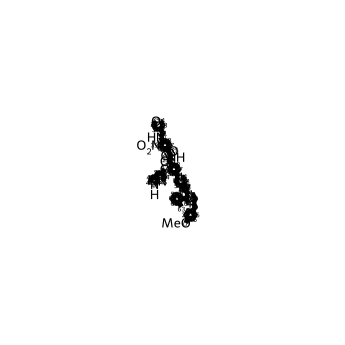 COc1ccc(CN2CCN(C3CC4(CCN(c5ccc(C(=O)NS(=O)(=O)c6ccc(NCC7CCOCC7)c([N+](=O)[O-])c6)c(Oc6cnc7[nH]ccc7c6)c5)CC4)C3)C(c3ccccc3C)C2)cc1